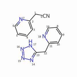 N#CCc1ccccn1.c1ccc(Cc2nnn[nH]2)nc1